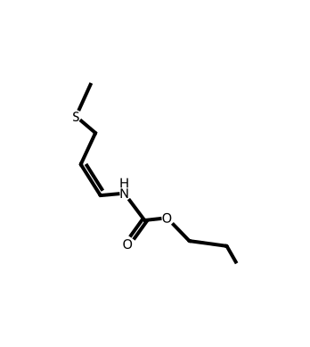 CCCOC(=O)N/C=C\CSC